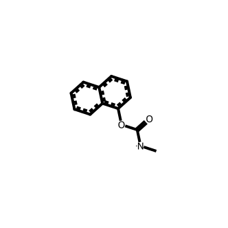 C[N]C(=O)Oc1cccc2ccccc12